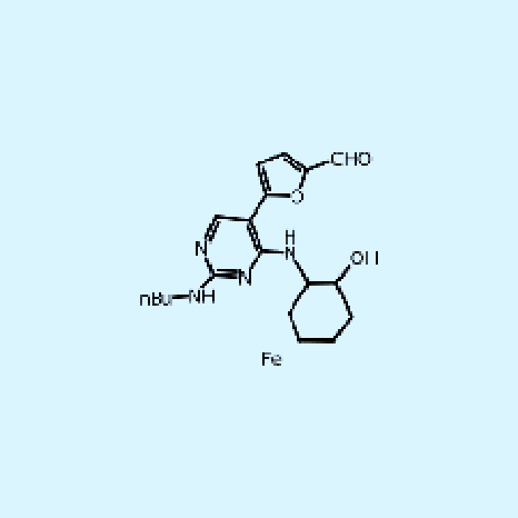 CCCCNc1ncc(-c2ccc(C=O)o2)c(NC2CCCCC2O)n1.[Fe]